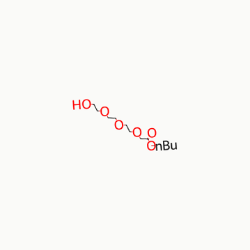 CCCCOC(=O)COCCOCCOCCO